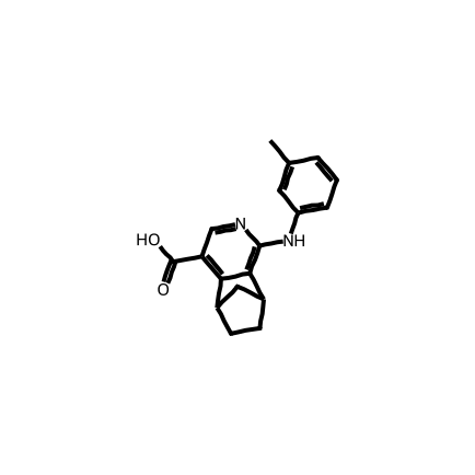 Cc1cccc(Nc2ncc(C(=O)O)c3c2C2CCC3C2)c1